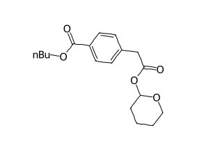 CCCCOC(=O)c1ccc(CC(=O)OC2CCCCO2)cc1